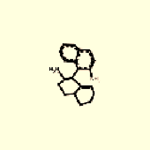 Nc1ccc2ccccc2c1C1C2=CCCCC2CCC1N